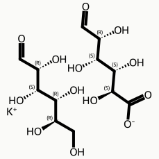 O=C[C@H](O)[C@@H](O)[C@H](O)[C@H](O)C(=O)[O-].O=C[C@H](O)[C@@H](O)[C@H](O)[C@H](O)CO.[K+]